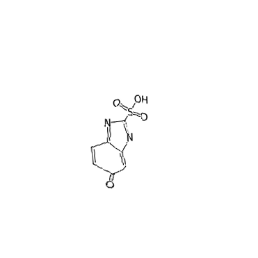 O=C1C=CC2=NC(S(=O)(=O)O)=NC2=C1